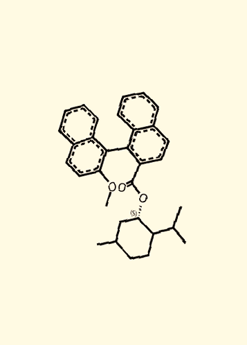 COc1ccc2ccccc2c1-c1c(C(=O)O[C@H]2CC(C)CCC2C(C)C)ccc2ccccc12